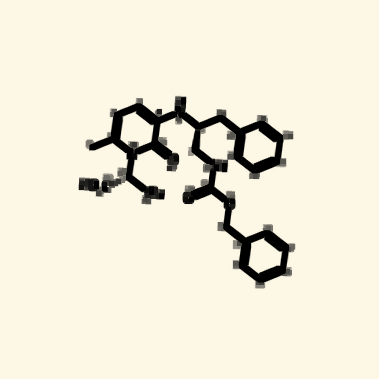 Cc1ccc(N[C@H](CNC(=O)OCc2ccccc2)Cc2ccccc2)c(=O)n1[C@@H](C(=O)O)C(C)(C)C